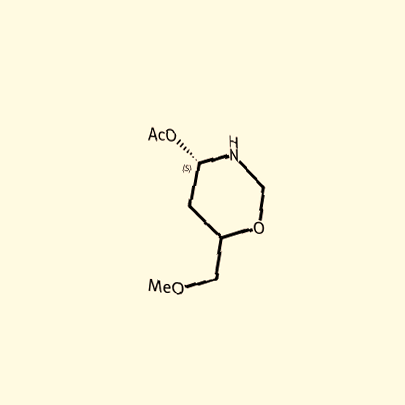 COCC1C[C@H](OC(C)=O)NCO1